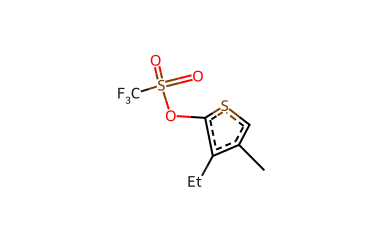 CCc1c(C)csc1OS(=O)(=O)C(F)(F)F